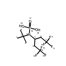 CC(C)(C)N(C(CC(F)(F)F)CC(F)(F)F)P(=O)(O)O